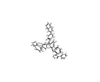 c1ccc(-c2ccccc2-c2cccc3c2sc2cc(N(c4ccc(-c5ccc6ccccc6c5)cc4)c4ccc(-c5cccc6ccccc56)cc4)ccc23)cc1